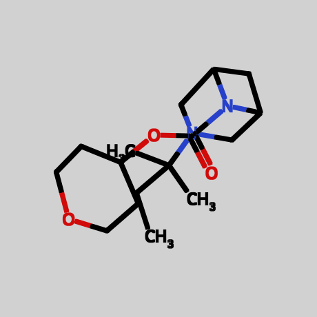 CCC(C)(C)N1CC2CC(C1)N2C(=O)OC1CCOCC1